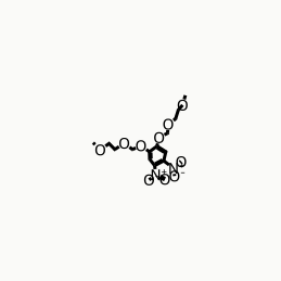 COCCOCOc1cc([N+](=O)[O-])c([N+](=O)[O-])cc1OCOCCOC